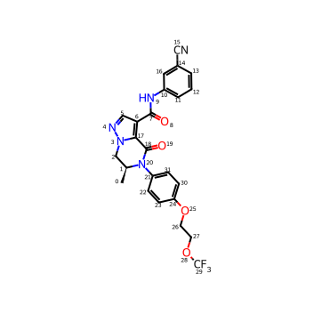 C[C@H]1Cn2ncc(C(=O)Nc3cccc(C#N)c3)c2C(=O)N1c1ccc(OCCOC(F)(F)F)cc1